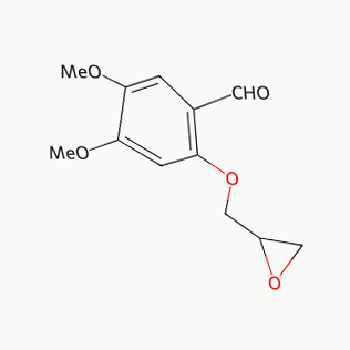 COc1cc(C=O)c(OCC2CO2)cc1OC